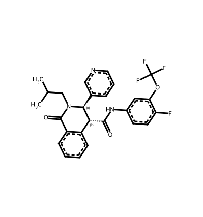 CC(C)CN1C(=O)c2ccccc2[C@@H](C(=O)Nc2ccc(F)c(OC(F)(F)F)c2)[C@@H]1c1cccnc1